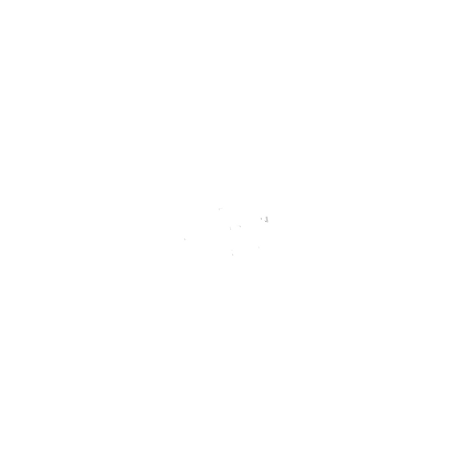 C1C[C]2CNCC(C1)N2